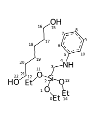 CCO[Si](CNc1ccccc1)(OCC)OCC.OCCCCCCO